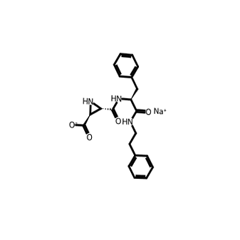 O=C(NCCc1ccccc1)[C@H](Cc1ccccc1)NC(=O)[C@H]1N[C@@H]1C(=O)[O-].[Na+]